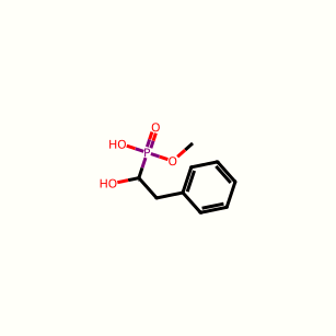 COP(=O)(O)[C](O)Cc1ccccc1